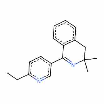 CCc1ccc(C2=NC(C)(C)Cc3ccccc32)cn1